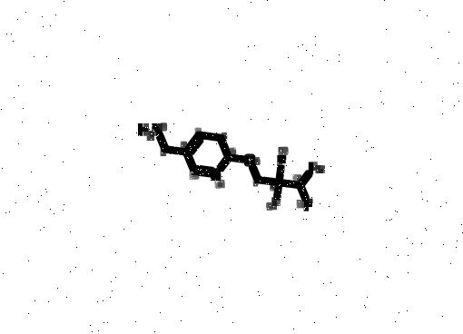 NCC1=CCC(OCC(F)(F)C(F)F)N=C1